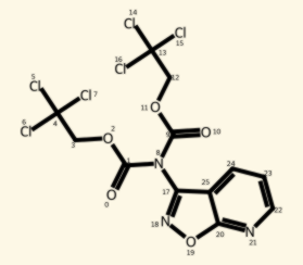 O=C(OCC(Cl)(Cl)Cl)N(C(=O)OCC(Cl)(Cl)Cl)c1noc2ncccc12